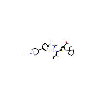 C=C/C(F)=C(\N=C(/C)NC(=C)/C=C\C(=C/C)C1CCN(C)CC1)c1cc(C(C)=O)c(C2(CC)CCCC2)s1